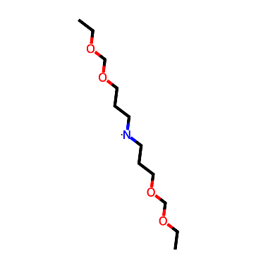 CCOCOCCC[N]CCCOCOCC